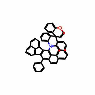 c1ccc(-c2c3c(c(N4c5ccccc5C5(c6ccccc6Oc6ccccc65)c5ccccc54)c4c2ccc2ccccc24)-c2cccc4cccc-3c24)cc1